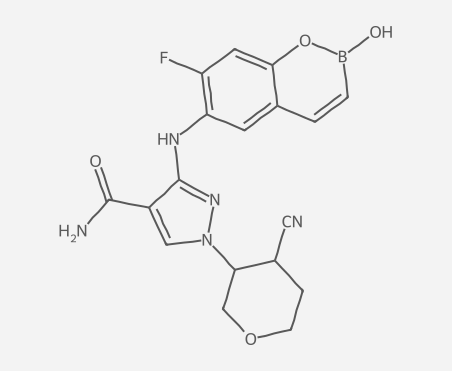 N#CC1CCOCC1n1cc(C(N)=O)c(Nc2cc3c(cc2F)OB(O)C=C3)n1